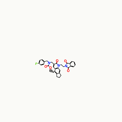 CC(C)(C)OC(=O)N(Cc1ccc(F)cc1)Cc1cc2cc3c(cc2n(CCN2C(=O)c4ccccc4C2=O)c1=O)CCC3